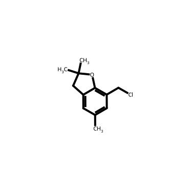 Cc1cc(CCl)c2c(c1)CC(C)(C)O2